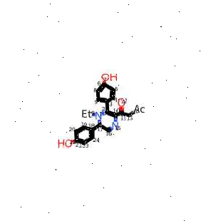 CCN1C(c2ccc(O)cc2)=C(C(=O)CC(C)=O)N=CC1c1ccc(O)cc1